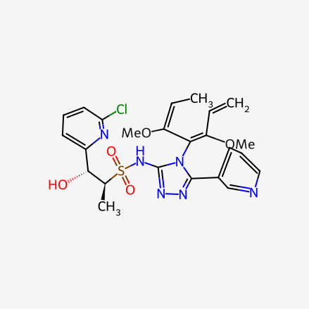 C=C/C(OC)=C(\C(=C/C)OC)n1c(NS(=O)(=O)[C@@H](C)[C@H](O)c2cccc(Cl)n2)nnc1-c1cccnc1